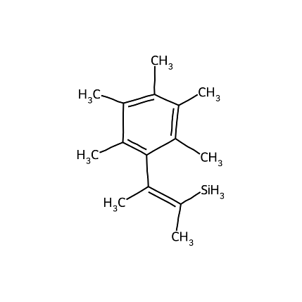 CC([SiH3])=C(C)c1c(C)c(C)c(C)c(C)c1C